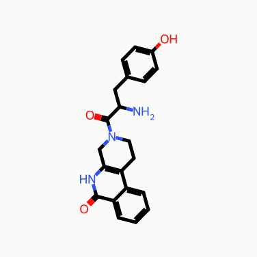 NC(Cc1ccc(O)cc1)C(=O)N1CCc2c([nH]c(=O)c3ccccc23)C1